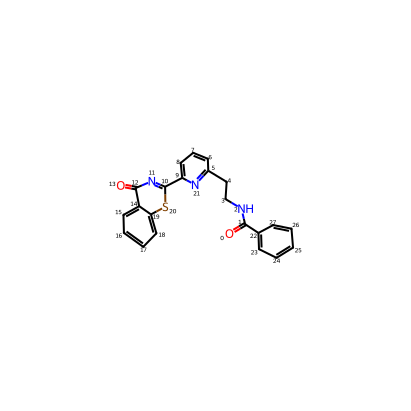 O=C(NCCc1cccc(-c2nc(=O)c3ccccc3s2)n1)c1ccccc1